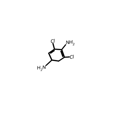 NC1=C(Cl)CC(N)C=C1Cl